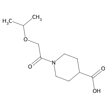 CC(C)OCC(=O)N1CCC(C(=O)O)CC1